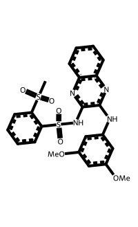 COc1cc(Nc2nc3ccccc3nc2NS(=O)(=O)c2ccccc2S(C)(=O)=O)cc(OC)c1